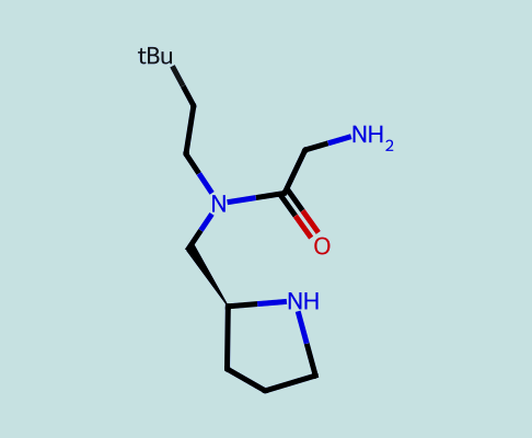 CC(C)(C)CCN(C[C@@H]1CCCN1)C(=O)CN